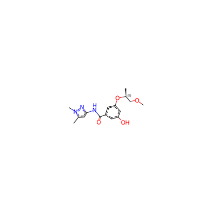 COC[C@H](C)Oc1cc(O)cc(C(=O)Nc2cc(C)n(C)n2)c1